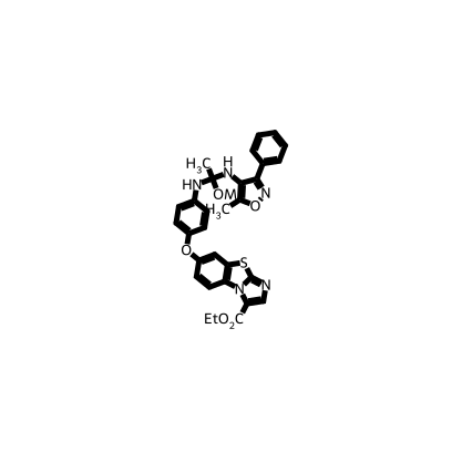 CCOC(=O)c1cnc2sc3cc(Oc4ccc(NC(C)(Nc5c(-c6ccccc6)noc5C)OC)cc4)ccc3n12